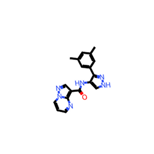 Cc1cc(C)cc(-c2n[nH]cc2NC(=O)c2cnn3cccnc23)c1